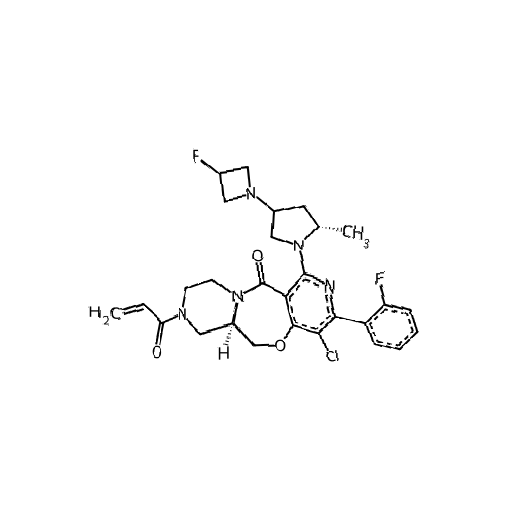 C=CC(=O)N1CCN2C(=O)c3c(N4CC(N5CC(F)C5)C[C@@H]4C)nc(-c4ccccc4F)c(Cl)c3OC[C@H]2C1